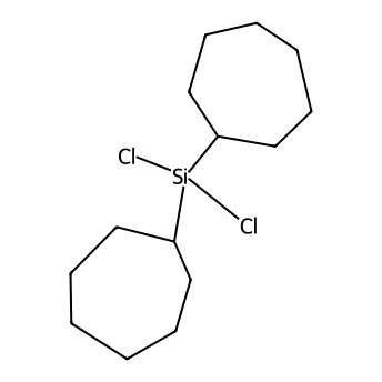 Cl[Si](Cl)(C1CCCCCC1)C1CCCCCC1